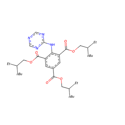 CCCCC(CC)COC(=O)c1cc(C(=O)OCC(CC)CCCC)c(Nc2ncncn2)c(C(=O)OCC(CC)CCCC)c1